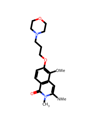 CNc1cc2c(OC)c(OCCCN3CCOCC3)ccc2c(=O)n1C